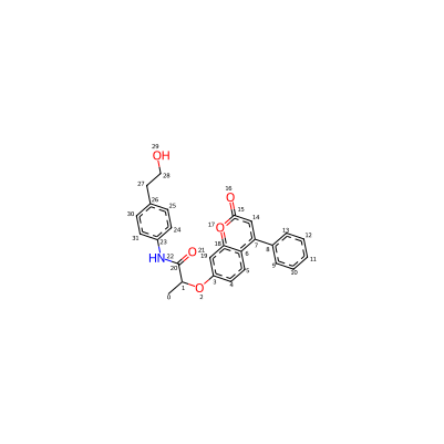 CC(Oc1ccc2c(-c3ccccc3)cc(=O)oc2c1)C(=O)Nc1ccc(CCO)cc1